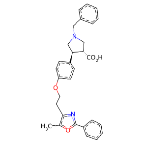 Cc1oc(-c2ccccc2)nc1CCOc1ccc([C@H]2CN(Cc3ccccc3)C[C@@H]2C(=O)O)cc1